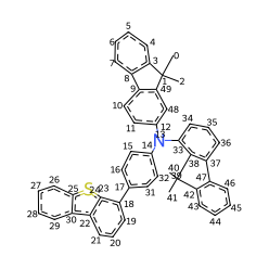 CC1(C)c2ccccc2-c2ccc(N(c3ccc(-c4cccc5c4sc4ccccc45)cc3)c3cccc4c3C(C)(C)c3ccccc3-4)cc21